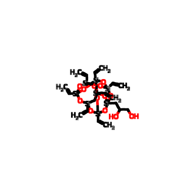 C=C[Si]12C[Si]3(C=C)O[Si]4(C=C)O[Si](C=C)(O1)O[Si]1(C=C)O[Si](C=C)(O2)O[Si](CC(O)CO)(O3)O[Si](C=C)(O4)O1